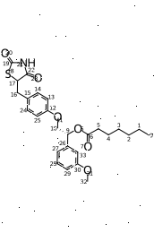 CCCCCCC(=O)O[C@@H](COc1ccc(CC2SC(=O)NC2=O)cc1)c1cccc(OC)c1